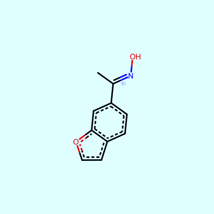 C/C(=N\O)c1ccc2ccoc2c1